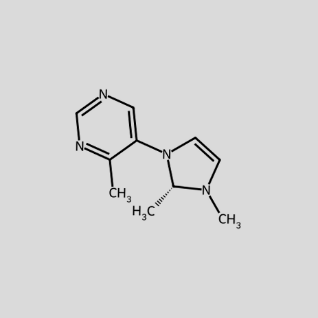 Cc1ncncc1N1C=CN(C)[C@@H]1C